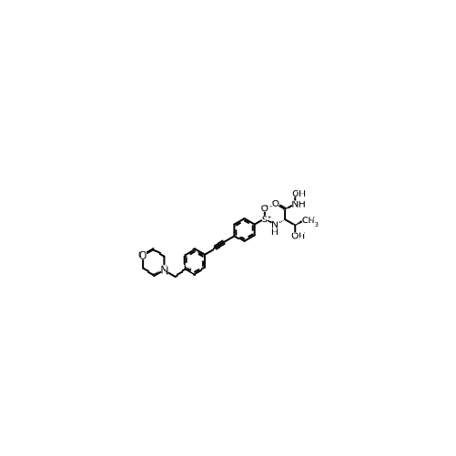 C[C@@H](O)[C@H](N[S+]([O-])c1ccc(C#Cc2ccc(CN3CCOCC3)cc2)cc1)C(=O)NO